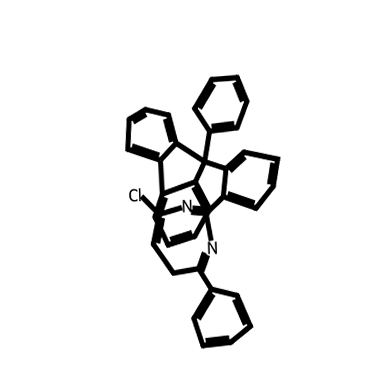 ClC1=CCC(c2ccccc2)=NC(c2ccccc2C2(c3ccccc3)c3ccccc3-c3ccccc32)=N1